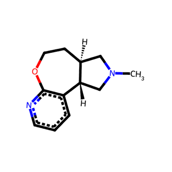 CN1C[C@@H]2CCOc3ncccc3[C@H]2C1